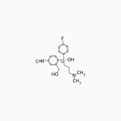 [C-]#[N+]c1ccc([C@](O)(CCCN(C)C)c2ccc(F)cc2)c(CO)c1